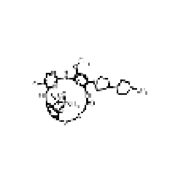 COc1cc(N2CCC(N3CCN(C)CC3)CC2)c2cc1Nc1ncc(Cl)c(n1)Nc1ccc(cc1N(C)S(C)(=O)=O)OCCCC(=O)N2